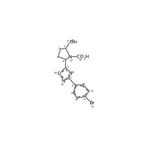 CC(C)(C)C1CCC(c2nc(-c3ccc(Br)cc3)no2)N1C(=O)O